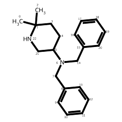 CC1(C)CCC(N(Cc2ccccc2)Cc2ccccc2)CN1